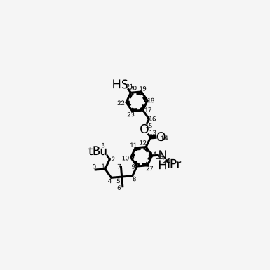 CC(CC(C)(C)C)CC(C)(C)Cc1ccc(C(=O)OCc2ccc(S)cc2)c(NC(C)C)c1